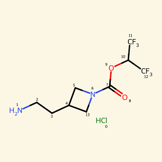 Cl.NCCC1CN(C(=O)OC(C(F)(F)F)C(F)(F)F)C1